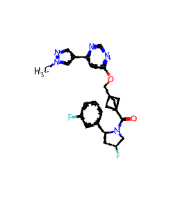 Cn1cc(-c2cc(OCC34CC(C(=O)N5CC(F)CC5c5cccc(F)c5)(C3)C4)ncn2)cn1